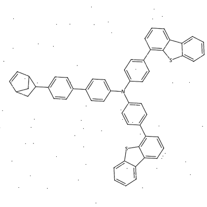 C1=CC2CC1CC2c1ccc(-c2ccc(N(c3ccc(-c4cccc5c4sc4ccccc45)cc3)c3ccc(-c4cccc5c4sc4ccccc45)cc3)cc2)cc1